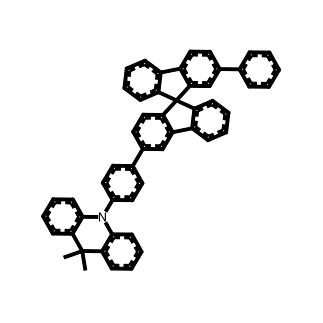 CC1(C)c2ccccc2N(c2ccc(-c3ccc4c(c3)-c3ccccc3C43c4ccccc4-c4ccc(-c5ccccc5)cc43)cc2)c2ccccc21